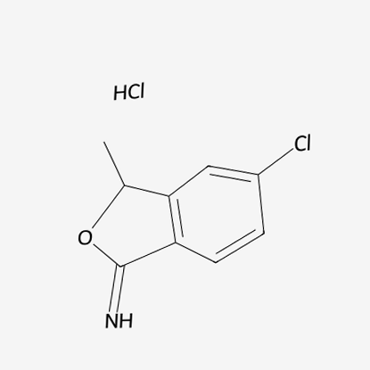 CC1OC(=N)c2ccc(Cl)cc21.Cl